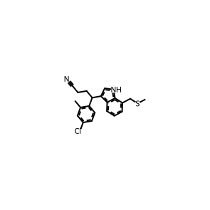 CSCc1cccc2c(C(CCC#N)c3ccc(Cl)cc3C)c[nH]c12